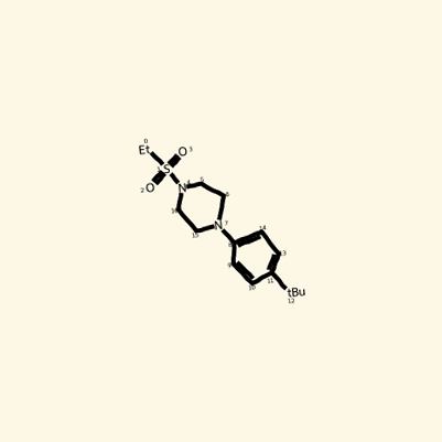 CCS(=O)(=O)N1CCN(c2ccc(C(C)(C)C)cc2)CC1